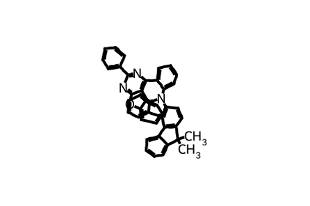 CC1(C)c2ccccc2-c2c1ccc1c2c2ccccc2n1-c1ccccc1-c1nc(-c2ccccc2)nc2oc3ccccc3c12